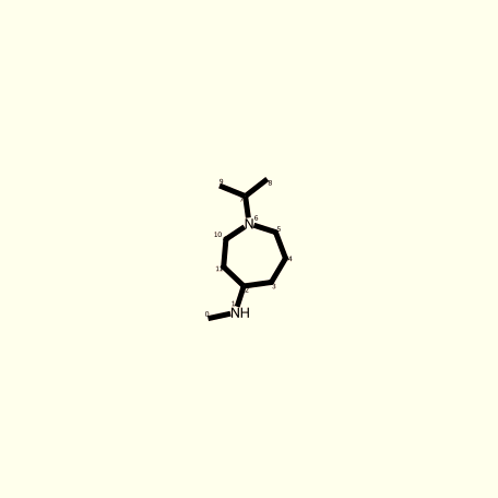 CNC1CCCN(C(C)C)CC1